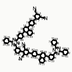 N#Cc1cc(C#N)cc(-c2ccc(-c3ccc(-c4ccc(-c5nc(-c6ccccc6)nc(-c6cccc(-c7c(C#N)cc(-c8ccc(-c9ccc(-c%10cccc(-c%11nc(-c%12ccccc%12)nc(-c%12ccccc%12)n%11)c%10)c%10ccccc9%10)cc8)cc7C#N)c6)n5)cc4)c4ccccc34)cc2)c1